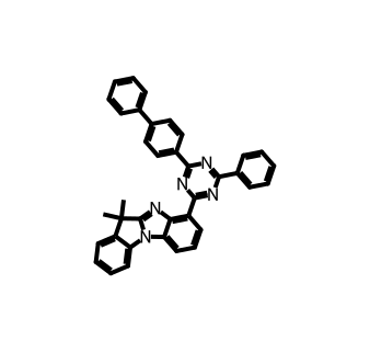 CC1(C)c2ccccc2-n2c1nc1c(-c3nc(-c4ccccc4)nc(-c4ccc(-c5ccccc5)cc4)n3)cccc12